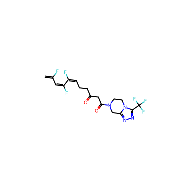 C=C(F)/C=C(F)\C(F)=C/CCC(=O)CC(=O)N1CCn2c(nnc2C(F)(F)F)C1